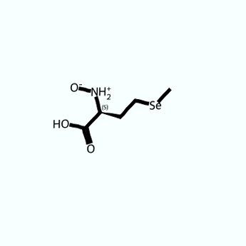 C[Se]CC[C@H]([NH2+][O-])C(=O)O